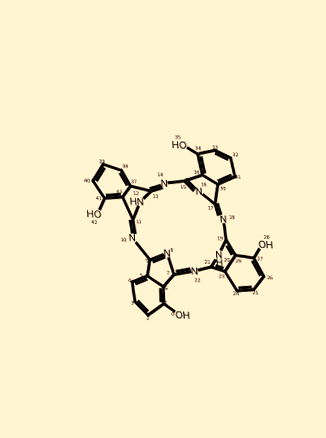 Oc1cccc2c1-c1nc-2nc2[nH]c(nc3nc(nc4[nH]c(n1)c1cccc(O)c41)-c1cccc(O)c1-3)c1cccc(O)c21